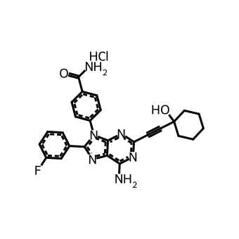 Cl.NC(=O)c1ccc(-n2c(-c3cccc(F)c3)nc3c(N)nc(C#CC4(O)CCCCC4)nc32)cc1